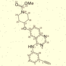 C#Cc1cccc(Nc2ncnc3ccc(OC4CCN(C(=O)OC)CC4)cc23)c1